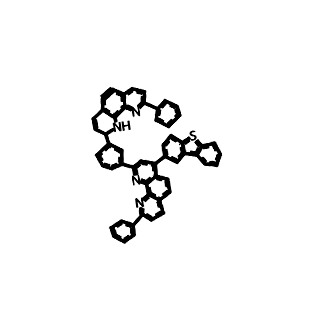 c1c2c(c3nc(-c4ccccc4)ccc3c#1)NC(c1cccc(-c3cc(-c4ccc5sc6ccccc6c5c4)c4ccc5ccc(-c6ccccc6)nc5c4n3)c1)C=C2